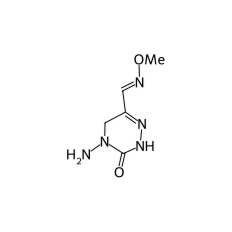 CO/N=C/C1=NNC(=O)N(N)C1